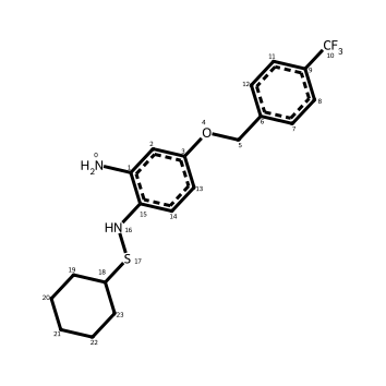 Nc1cc(OCc2ccc(C(F)(F)F)cc2)ccc1NSC1CCCCC1